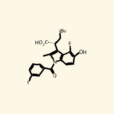 CCC(C)C[C@@H](C(=O)O)c1c(C)n(C(=O)c2cccc(F)c2)c2ccc(O)c(F)c12